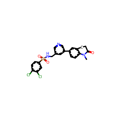 CN1C(=O)CCc2cc(-c3cncc(CNS(=O)(=O)c4ccc(Cl)c(Cl)c4)c3)ccc21